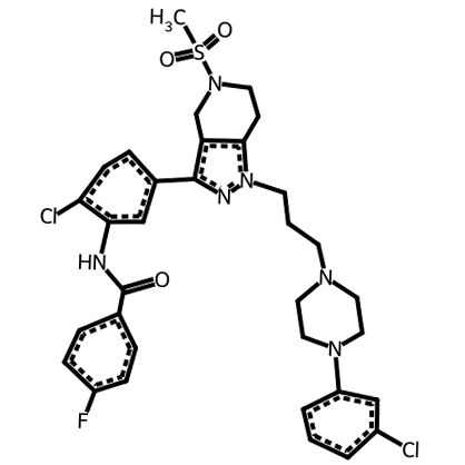 CS(=O)(=O)N1CCc2c(c(-c3ccc(Cl)c(NC(=O)c4ccc(F)cc4)c3)nn2CCCN2CCN(c3cccc(Cl)c3)CC2)C1